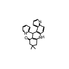 CC1(C)CC(=O)C2=C(C1)Nc1ccc3ncccc3c1C2c1ccccn1